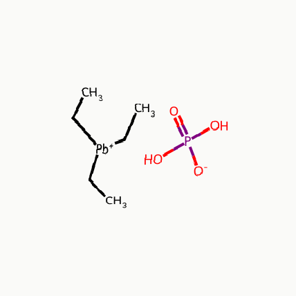 C[CH2][Pb+]([CH2]C)[CH2]C.O=P([O-])(O)O